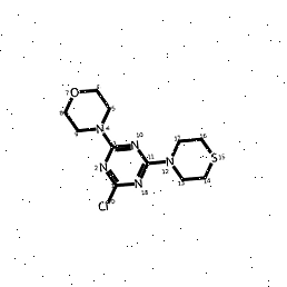 Clc1nc(N2CCOCC2)nc(N2CCSCC2)n1